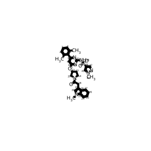 Cc1cccc(C)c1-c1cc(OC2CCN(C(=O)Cc3cn(C)c4ccccc34)C2)nc(NS(=O)(=O)c2cnn(C)c2)n1